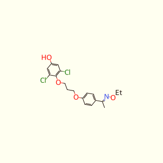 CCON=C(C)c1ccc(OCCCOc2c(Cl)cc(O)cc2Cl)cc1